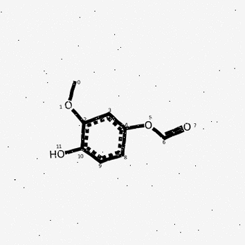 COc1cc(OC=O)ccc1O